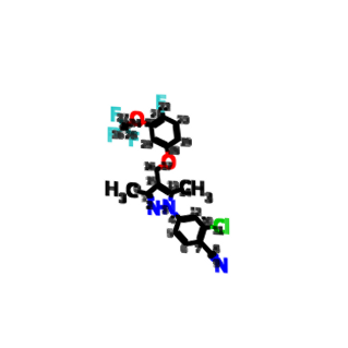 Cc1nn(-c2ccc(C#N)c(Cl)c2)c(C)c1COc1ccc(F)c(OC(F)(F)F)c1